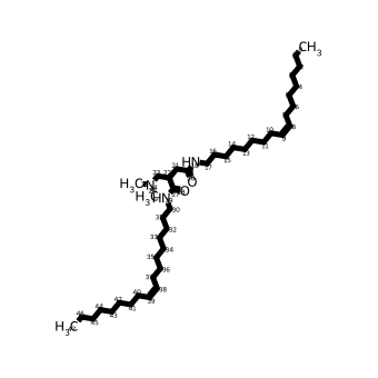 CCCCCCCC/C=C\CCCCCCCCNC(=O)CC(CN(C)C)C(=O)NCCCCCCCC/C=C\CCCCCCCC